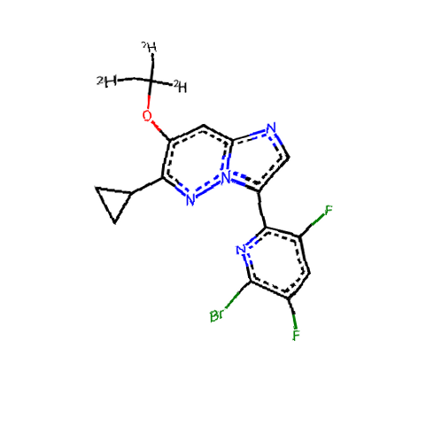 [2H]C([2H])([2H])Oc1cc2ncc(-c3nc(Br)c(F)cc3F)n2nc1C1CC1